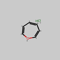 C1=CC=COC=C1.Cl